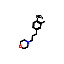 Cc1cc(CCCN2CCOCC2)ccc1[N+](=O)[O-]